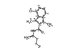 C=C(CCF)NC(=O)c1c(C)c2ccnc(Cl)c2n1C